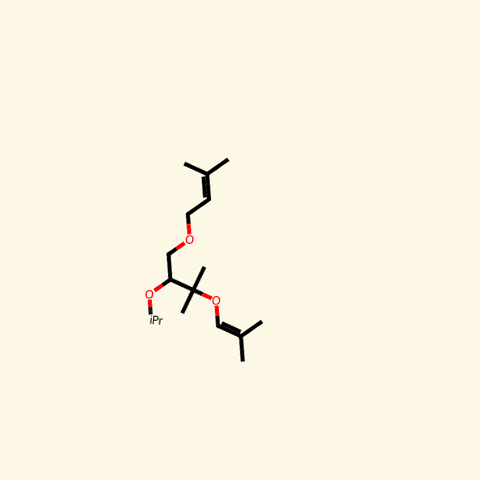 CC(C)=CCOCC(OC(C)C)C(C)(C)OC=C(C)C